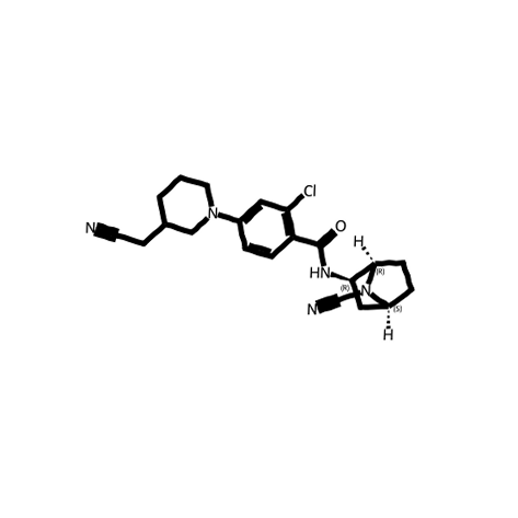 N#CCC1CCCN(c2ccc(C(=O)N[C@@H]3C[C@@H]4CC[C@H]3N4C#N)c(Cl)c2)C1